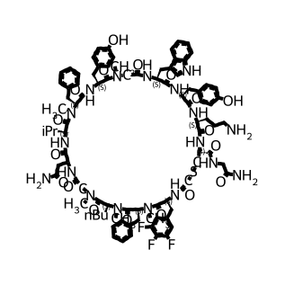 CCCC[C@H]1C(=O)N(C)CC(=O)NC(CC(N)=O)C(=O)N[C@@H](C(C)C)C(=O)N(C)[C@@H](Cc2ccccc2)C(=O)N[C@@H](Cc2ccc(O)cc2)C(=O)N(C)CC(=O)N[C@@H](Cc2c[nH]c3ccccc23)C(=O)N[C@@H](Cc2ccc(O)cc2)C(=O)N[C@@H](CCCN)C(=O)N[C@H](C(=O)NCC(N)=O)CSCC(=O)N[C@@H](Cc2cc(F)c(F)c(F)c2)C(=O)N(C)[C@@H](Cc2ccccc2)C(=O)N1C